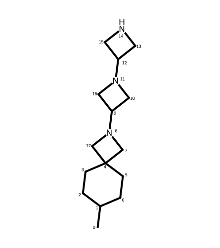 CC1CCC2(CC1)CN(C1CN(C3CNC3)C1)C2